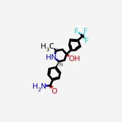 C[C@H]1CC(O)(c2ccc(C(F)(F)F)cc2)C[C@@H](c2ccc(C(N)=O)cc2)N1